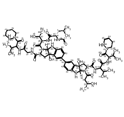 CC(C)C[C@H](NC=O)C(=O)N[C@@H](C(=O)N1[C@H](C(=O)NCC(=O)NC(C(=O)N2CCCCN2)C(C)C)C[C@@]2(O)c3cc(-c4ccc5c(c4)[C@]4(O)C[C@@H](C(=O)NC(C(=O)NC(C(=O)N6CCCCN6)C(C)C)C(C)C)N(C(=O)C[C@H](C)O)[C@@H]4N5)ccc3N[C@@H]12)[C@H](C)O